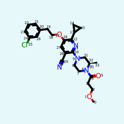 COCCC(=O)N1CCN(c2nc(C3CC3)c(OCCc3cccc(Cl)c3)cc2C#N)C[C@H]1C